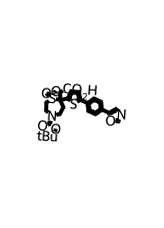 CC(C)(C)OC(=O)N1CCC(CC(=O)O)(c2ccc(-c3ccc(-c4cnco4)cc3)s2)S(=O)(=O)CC1